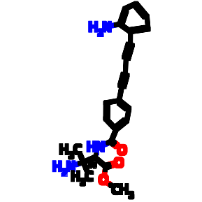 COC(=O)[C@@H](NC(=O)c1ccc(C#CC#Cc2ccccc2N)cc1)C(C)(C)N